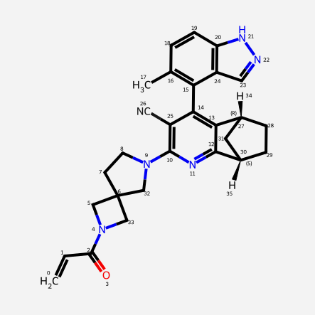 C=CC(=O)N1CC2(CCN(c3nc4c(c(-c5c(C)ccc6[nH]ncc56)c3C#N)[C@@H]3CC[C@H]4C3)C2)C1